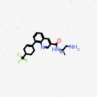 C[C@H](CN)NC(=O)c1cnc2c(C3=CCC(C(F)(F)F)CC3)cccc2c1